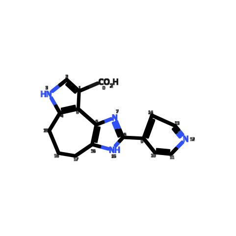 O=C(O)c1c[nH]c2c1-c1nc(-c3ccncc3)[nH]c1CCC2